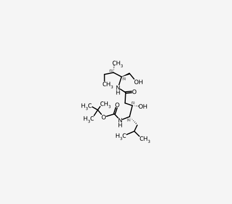 CC[C@H](C)[C@@H](CO)NC(=O)C[C@H](O)[C@H](CC(C)C)NC(=O)OC(C)(C)C